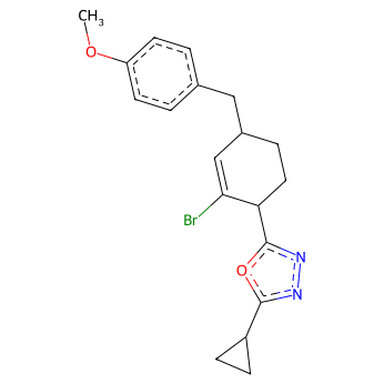 COc1ccc(CC2C=C(Br)C(c3nnc(C4CC4)o3)CC2)cc1